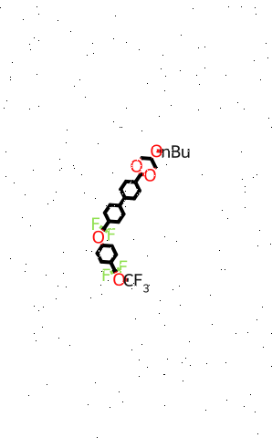 CCCCOC1COC(C2CCC(C3CCC(C(F)(F)OC4CCC(C(F)(F)OC(F)(F)F)CC4)CC3)CC2)OC1